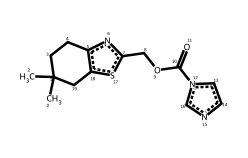 CC1(C)CCc2nc(COC(=O)n3ccnc3)sc2C1